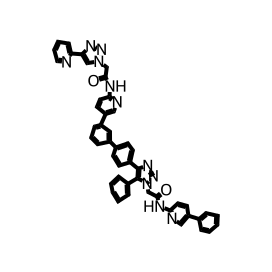 O=C(Cn1cc(-c2ccccn2)nn1)Nc1ccc(-c2cccc(-c3ccc(-c4nnn(CC(=O)Nc5ccc(-c6ccccc6)cn5)c4-c4ccccc4)cc3)c2)cn1